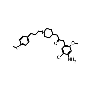 COc1ccc(CCCN2CCC(CC(=O)Cc3cc(Cl)c(N)cc3OC)CC2)cc1